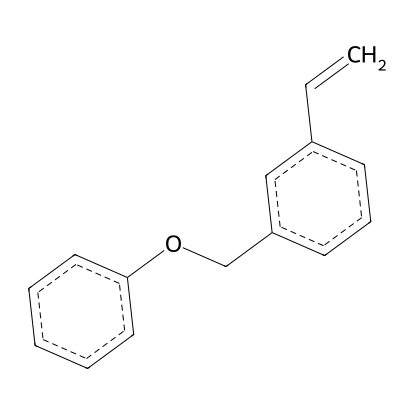 C=Cc1cccc(COc2ccccc2)c1